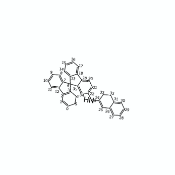 C1=CC2=C(CC1)C1(c3ccccc32)c2ccccc2-c2ccc(NC3=Cc4ccccc4CC3)cc21